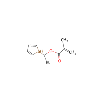 [CH2]CC(OC(=O)C(=C)C)[SH]1C=CC=C1